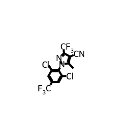 Cc1c(C#N)c(C(F)(F)F)nn1-c1c(Cl)cc(C(F)(F)F)cc1Cl